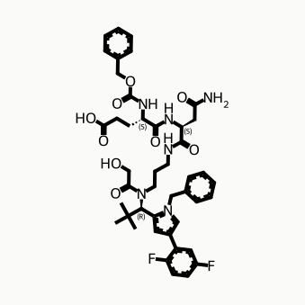 CC(C)(C)[C@H](c1cc(-c2cc(F)ccc2F)cn1Cc1ccccc1)N(CCCNC(=O)[C@H](CC(N)=O)NC(=O)[C@H](CCC(=O)O)NC(=O)OCc1ccccc1)C(=O)CO